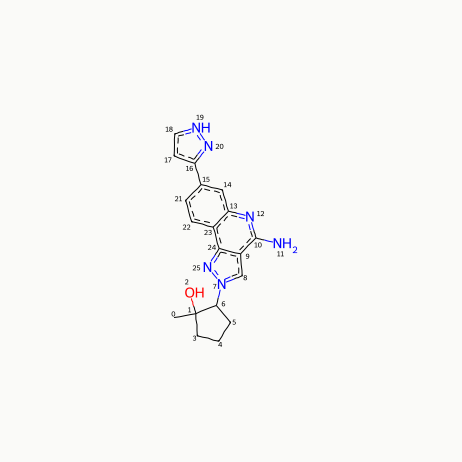 CC1(O)CCCC1n1cc2c(N)nc3cc(-c4cc[nH]n4)ccc3c2n1